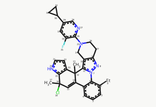 CCc1cccc2c1-n1nc3c(c1C1(C)C2=CC(C)(Cl)c2[nH]ccc21)CN(c1ncc(C2CC2)cc1F)CC3